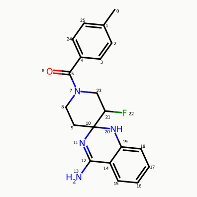 Cc1ccc(C(=O)N2CCC3(N=C(N)c4ccccc4N3)C(F)C2)cc1